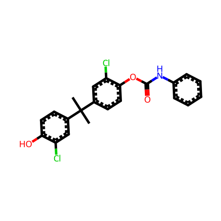 CC(C)(c1ccc(O)c(Cl)c1)c1ccc(OC(=O)Nc2ccccc2)c(Cl)c1